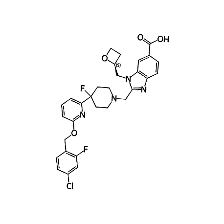 O=C(O)c1ccc2nc(CN3CCC(F)(c4cccc(OCc5ccc(Cl)cc5F)n4)CC3)n(C[C@@H]3CCO3)c2c1